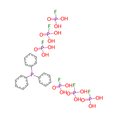 O=P(O)(O)F.O=P(O)(O)F.O=P(O)(O)F.O=P(O)(O)F.O=P(O)(O)F.O=P(O)(O)F.c1ccc(P(c2ccccc2)c2ccccc2)cc1